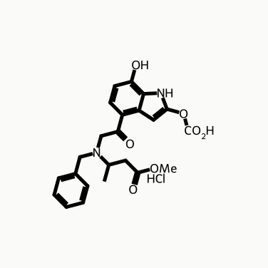 COC(=O)CC(C)N(CC(=O)c1ccc(O)c2[nH]c(OC(=O)O)cc12)Cc1ccccc1.Cl